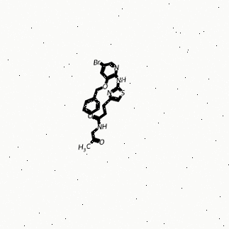 CC(=O)CNC(=O)CCc1csc(Nc2ncc(Br)cc2OCc2ccccc2)n1